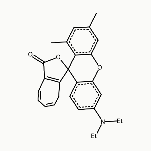 CCN(CC)c1ccc2c(c1)Oc1cc(C)cc(C)c1C21OC(=O)C2=C1CC=CC=C2